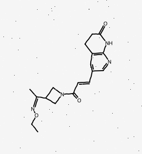 CCO/N=C(/C)C1CN(C(=O)C=Cc2cnc3c(c2)CCC(=O)N3)C1